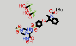 Cc1c(COc2ccc(S(=O)(=O)NC[C@@H](C(=O)NO)N3CCN(S(C)(=O)=O)CC3)cc2)c2ccccc2n1C(=O)OC(C)(C)C.O=C(O)C(F)(F)F.O=C(O)C(F)(F)F